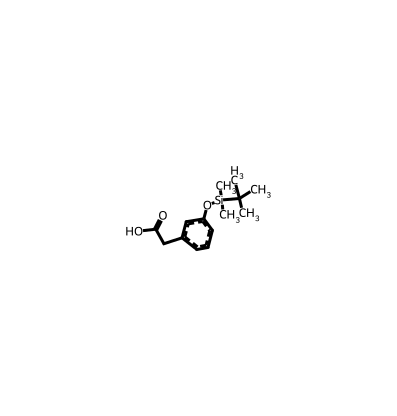 CC(C)(C)[Si](C)(C)Oc1cccc(CC(=O)O)c1